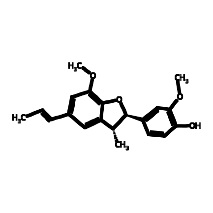 CC=Cc1cc(OC)c2c(c1)[C@@H](C)[C@H](c1ccc(O)c(OC)c1)O2